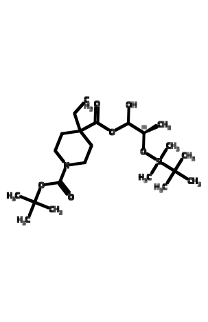 CCC1(C(=O)OC(O)[C@@H](C)O[Si](C)(C)C(C)(C)C)CCN(C(=O)OC(C)(C)C)CC1